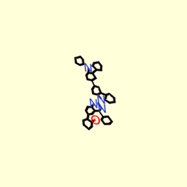 c1ccc(-c2nc(-n3c4ccccc4c4cc(-c5ccc6c(c5)c5ccccc5n6-c5ccccc5)ccc43)nc3ccc4c5ccccc5oc4c23)cc1